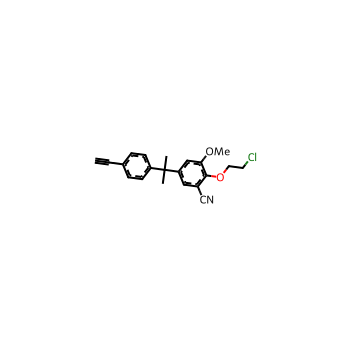 C#Cc1ccc(C(C)(C)c2cc(C#N)c(OCCCl)c(OC)c2)cc1